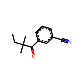 CCC(C)(C)C(=O)c1cccc(C#N)c1